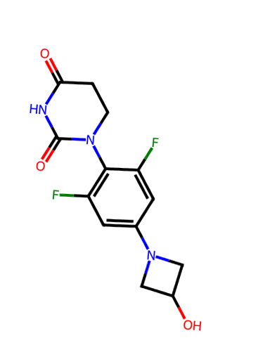 O=C1CCN(c2c(F)cc(N3CC(O)C3)cc2F)C(=O)N1